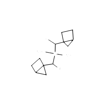 CCCCC(C12CCC1C2)[Si](OC)(OC)C(CCCC)C12CCC1C2